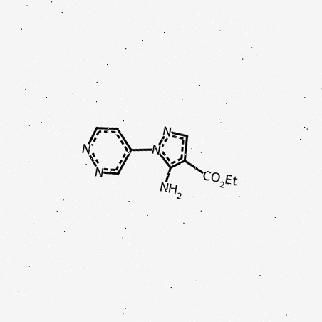 CCOC(=O)c1cnn(-c2ccnnc2)c1N